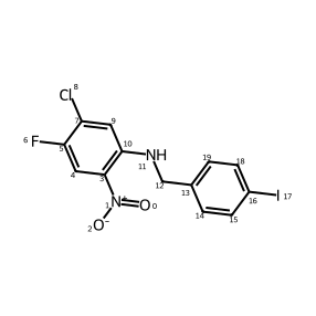 O=[N+]([O-])c1cc(F)c(Cl)cc1NCc1ccc(I)cc1